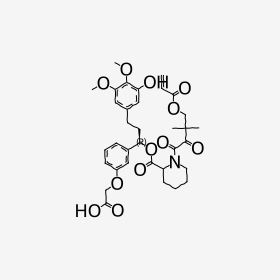 C=CC(=O)OCC(C)(C)C(=O)C(=O)N1CCCCC1C(=O)O[C@H](CCc1cc(O)c(OC)c(OC)c1)c1cccc(OCC(=O)O)c1